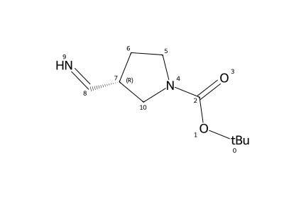 CC(C)(C)OC(=O)N1CC[C@@H](C=N)C1